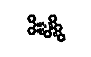 NC(c1ccccc1)c1ccccc1NCc1cccc(Nc2c(-c3ccccc3)ccc3c2oc2ccccc23)c1